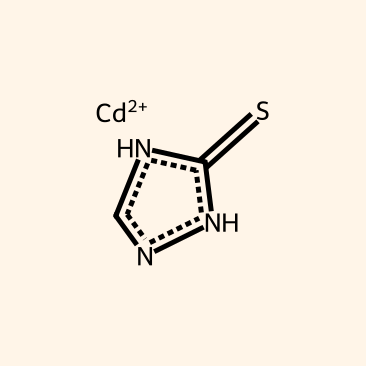 S=c1[nH]cn[nH]1.[Cd+2]